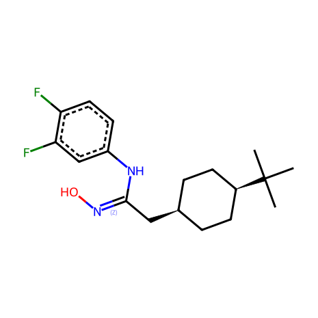 CC(C)(C)[C@H]1CC[C@@H](C/C(=N/O)Nc2ccc(F)c(F)c2)CC1